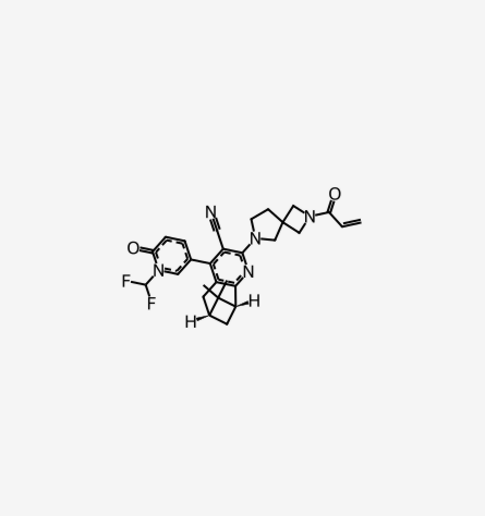 C=CC(=O)N1CC2(CCN(c3nc4c(c(-c5ccc(=O)n(C(F)F)c5)c3C#N)C[C@H]3C[C@@H]4C3(C)C)C2)C1